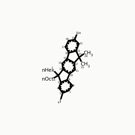 CCCCCCCCC1(CCCCCC)c2cc(I)ccc2-c2cc3c(cc21)-c1ccc(I)cc1C3(C)C